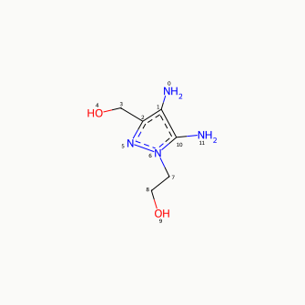 Nc1c(CO)nn(CCO)c1N